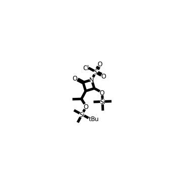 CC(O[Si](C)(C)C(C)(C)C)C1C(=O)N(S(=O)(=O)Cl)C1O[Si](C)(C)C